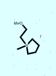 COCC[N+]1(C)CCCC1.[I-]